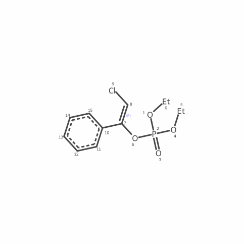 CCOP(=O)(OCC)O/C(=C/Cl)c1ccccc1